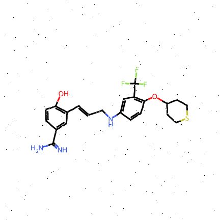 N=C(N)c1ccc(O)c(C=CCNc2ccc(OC3CCSCC3)c(C(F)(F)F)c2)c1